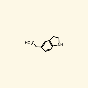 O=C(O)Cc1ccc2c(c1)CCN2